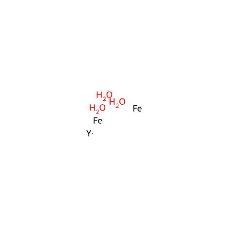 O.O.O.[Fe].[Fe].[Y]